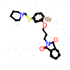 Br.O=C1c2ccccc2C(=O)N1CCCOc1cccc(SCN2CCCCC2)c1